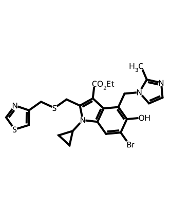 CCOC(=O)c1c(CSCc2cscn2)n(C2CC2)c2cc(Br)c(O)c(Cn3ccnc3C)c12